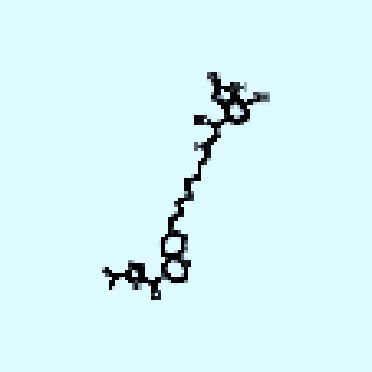 CC(C)c1nc(C(=O)N2CCOC3(CCN(CCCSCCCCNCC(O)c4ccc(O)c5[nH]c(=O)sc45)CC3)C2)cs1